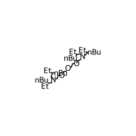 CCCCC(CC)CN(CCOCCOCCOCCN(CC(CC)CCCC)CC(CC)CCCC)CC(CC)CCCC